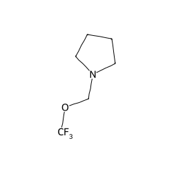 FC(F)(F)OCN1CCCC1